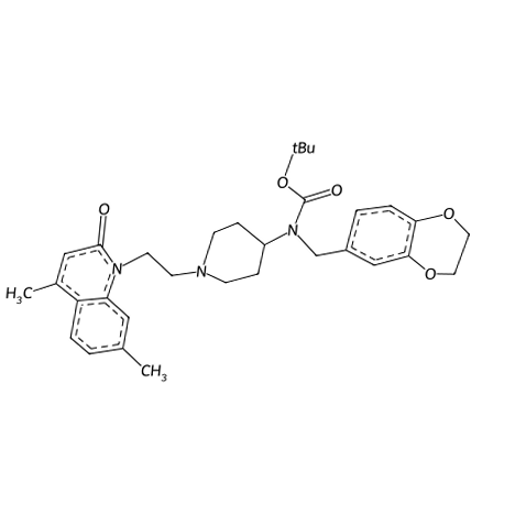 Cc1ccc2c(C)cc(=O)n(CCN3CCC(N(Cc4ccc5c(c4)OCCO5)C(=O)OC(C)(C)C)CC3)c2c1